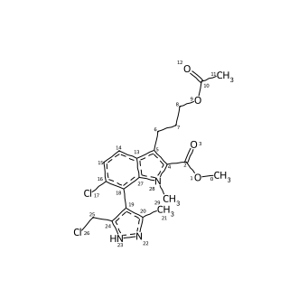 COC(=O)c1c(CCCOC(C)=O)c2ccc(Cl)c(-c3c(C)n[nH]c3CCl)c2n1C